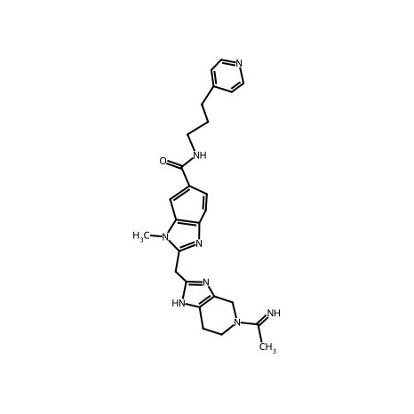 CC(=N)N1CCc2[nH]c(Cc3nc4ccc(C(=O)NCCCc5ccncc5)cc4n3C)nc2C1